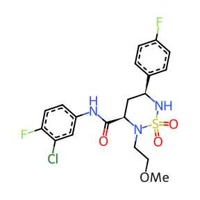 COCCN1[C@@H](C(=O)Nc2ccc(F)c(Cl)c2)C[C@@H](c2ccc(F)cc2)NS1(=O)=O